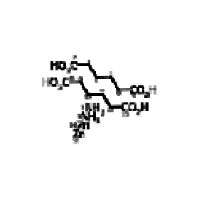 N.N.O=C(O)CCCCC(=O)O.O=C(O)CCCCC(=O)O.[Zn].[Zn]